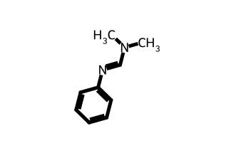 CN(C)/C=N/c1ccccc1